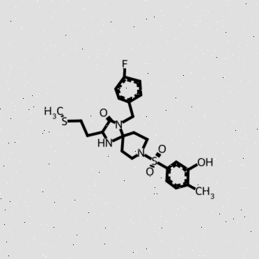 CSCCC1NC2(CCN(S(=O)(=O)c3ccc(C)c(O)c3)CC2)N(Cc2ccc(F)cc2)C1=O